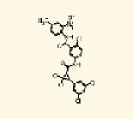 Cc1ccc(NC(=O)c2cc(NC(=O)C3C(c4cc(Cl)cc(Cl)c4)C3(Cl)Cl)ccc2Cl)c([N+](=O)[O-])c1